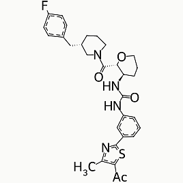 CC(=O)c1sc(-c2cccc(NC(=O)N[C@@H]3CCCO[C@H]3C(=O)N3CCC[C@@H](Cc4ccc(F)cc4)C3)c2)nc1C